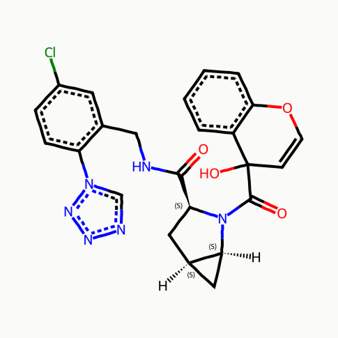 O=C(NCc1cc(Cl)ccc1-n1cnnn1)[C@@H]1C[C@@H]2C[C@@H]2N1C(=O)C1(O)C=COc2ccccc21